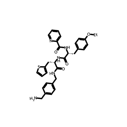 CCOc1ccc(C[C@@H](NC(=O)c2ccccn2)C(=O)N[C@@H](Cc2cccs2)C(=O)NCc2ccc(CN)cc2)cc1